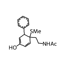 CSC1(CCNC(C)=O)C=CC(O)=CC1c1ccccc1